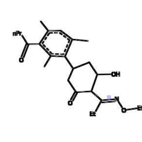 CCCC(=O)c1c(C)cc(C)c(C2CC(=O)C(/C(CC)=N/OCC)C(O)C2)c1C